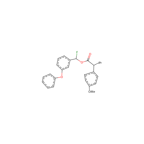 COc1ccc(C(C(=O)OC(F)c2cccc(Oc3ccccc3)c2)C(C)C)cc1